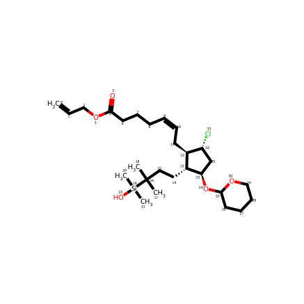 C=CCOC(=O)CCC/C=C\C[C@@H]1[C@@H](CCC(C)(C)[Si](C)(C)O)[C@H](OC2CCCCO2)C[C@H]1Cl